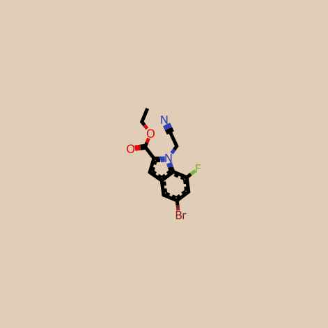 CCOC(=O)c1cc2cc(Br)cc(F)c2n1CC#N